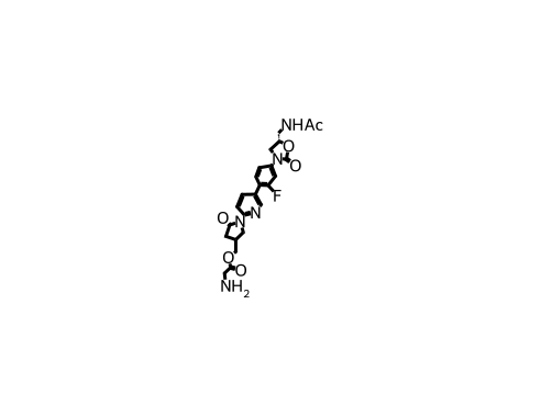 CC(=O)NC[C@H]1CN(c2ccc(-c3ccc(N4CC(COC(=O)CN)CC4=O)nc3)c(F)c2)C(=O)O1